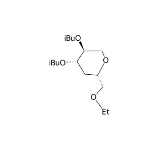 CCOC[C@@H]1C[C@H](OCC(C)C)[C@@H](OCC(C)C)CO1